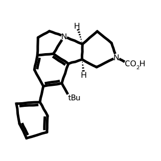 CC(C)(C)c1c(-c2ccccc2)cc2c3c1[C@@H]1CN(C(=O)O)CC[C@@H]1N3CC2